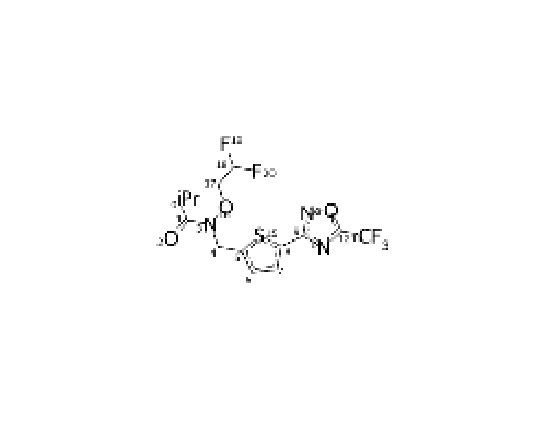 CC(C)C(=O)N(Cc1ccc(-c2noc(C(F)(F)F)n2)s1)OCC(F)F